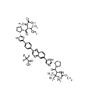 COC(=O)N[C@H](C(=O)N1CCC[C@H]1c1ncc(-c2ccc3nc(-c4ccc(-c5c[nH]c([C@@H]6CCCN6C(=O)[C@H](C(C)C)N(C)C(=O)O)n5)cc4)cnc3c2)[nH]1)C(C)(C)C.O=C(O)C(F)(F)F